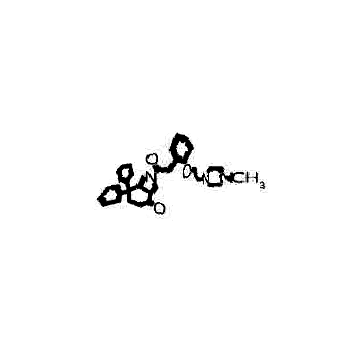 CN1CCN(CCOc2ccccc2CC(=O)N2CC3C(=O)CCC(c4ccccc4)(c4ccccc4)C3C2)CC1